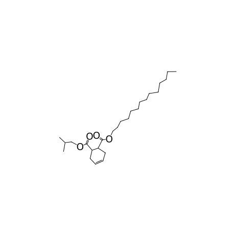 CCCCCCCCCCCCCCOC(=O)C1CC=CCC1C(=O)OCC(C)C